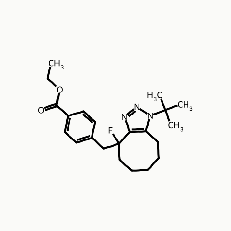 CCOC(=O)c1ccc(CC2(F)CCCCCc3c2nnn3C(C)(C)C)cc1